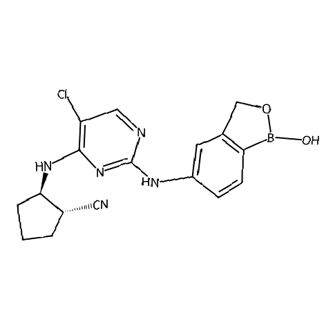 N#C[C@@H]1CCC[C@H]1Nc1nc(Nc2ccc3c(c2)COB3O)ncc1Cl